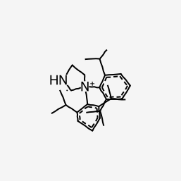 CC(C)c1cccc(C(C)C)c1[N+]1(c2c(C(C)C)cccc2C(C)C)[CH]NCC1